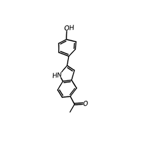 CC(=O)c1ccc2[nH]c(-c3ccc(O)cc3)cc2c1